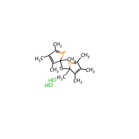 CC1=P[C](C)([Ti][C]2(C)P=C(C)C(C)=C2C)C(C)=C1C.Cl.Cl